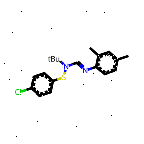 Cc1ccc(N=CN(Sc2ccc(Cl)cc2)C(C)(C)C)c(C)c1